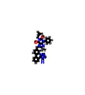 CC(C)c1nc2c(c(=O)n(CC3CC3)c(=O)n2-c2ccccc2)n1Cc1ccc(-c2ccccc2-c2nnn[nH]2)cc1